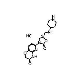 Cl.O=C1COc2ccc(N3C[C@@H](CNC4CCNCC4)OC3=O)nc2N1